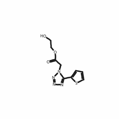 O=C(Cn1nnnc1-c1cccs1)OCCO